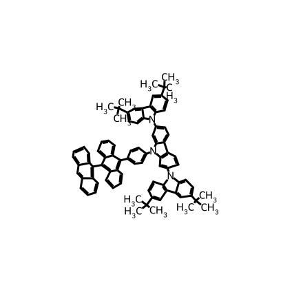 CC(C)(C)c1ccc2c(c1)c1cc(C(C)(C)C)ccc1n2-c1ccc2c3ccc(-n4c5ccc(C(C)(C)C)cc5c5cc(C(C)(C)C)ccc54)cc3n(-c3ccc(-c4c5ccccc5c(-c5c6ccccc6cc6ccccc56)c5ccccc45)cc3)c2c1